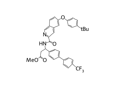 COC(=O)CC(NC(=O)c1cc2cc(Oc3ccc(C(C)(C)C)cc3)ccc2cn1)c1ccc(-c2ccc(C(F)(F)F)cc2)cc1